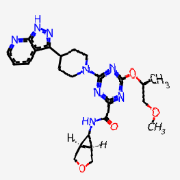 COCC(C)Oc1nc(C(=O)NC2[C@H]3COC[C@@H]23)nc(N2CCC(c3n[nH]c4ncccc34)CC2)n1